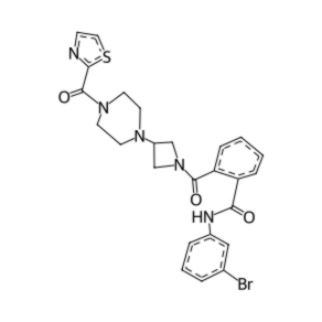 O=C(Nc1cccc(Br)c1)c1ccccc1C(=O)N1CC(N2CCN(C(=O)c3nccs3)CC2)C1